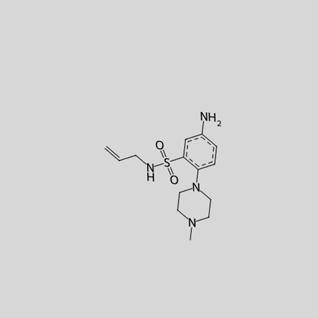 C=CCNS(=O)(=O)c1cc(N)ccc1N1CCN(C)CC1